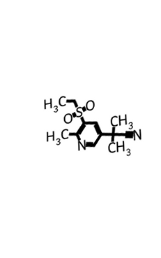 CCS(=O)(=O)c1cc(C(C)(C)C#N)cnc1C